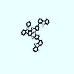 c1ccc(-n2c3ccccc3c3cc4c5c(c32)Oc2cc(-c3cccc6c3oc3ccccc36)ccc2N5c2ccc(-c3cccc5c3oc3ccccc35)cc2O4)cc1